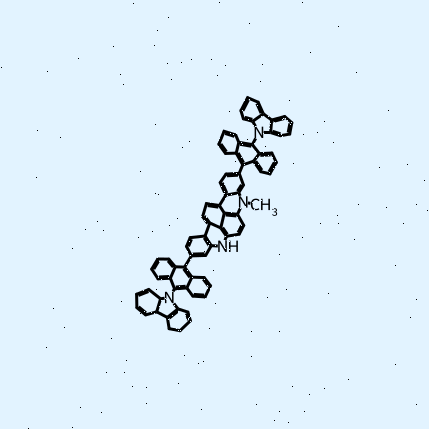 CN1c2cc(-c3c4ccccc4c(-n4c5ccccc5c5ccccc54)c4ccccc34)ccc2-c2ccc3c4c(ccc1c24)Nc1cc(-c2c4ccccc4c(N4C5=C(CCC=C5)C5C=CC=CC54)c4ccccc24)ccc1-3